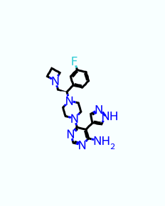 Nc1ncnc(N2CCN([C@@H](CN3CCC3)c3cccc(F)c3)CC2)c1-c1cn[nH]c1